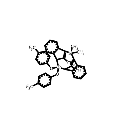 CC1=C2c3ccccc3[CH]1[Zr]([O]c1ccc(C(F)(F)F)cc1)([O]c1ccc(C(F)(F)F)cc1)[CH]1C(C)=C(c3ccccc31)[Si]2(C)C